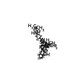 CC(C)OC(=O)NC1CCC(c2ncc(-c3ccc(N(Cc4ccccc4)C(=O)O)cc3S(=O)(=O)NC(C)(C)C)s2)CC1